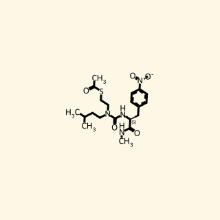 CNC(=O)[C@H](Cc1ccc([N+](=O)[O-])cc1)NC(=O)N(CCSC(C)=O)CCC(C)C